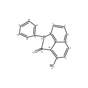 N#Cc1ccc2cccc3c2c1C(=O)N3c1ccccc1